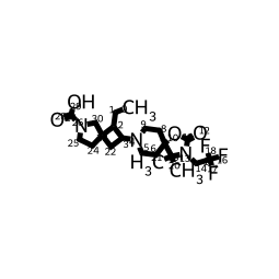 CCC1C(N2CCC3(CC2)OC(=O)N(CC(F)(F)F)C3(C)C)CC12CCN(C(=O)O)C2